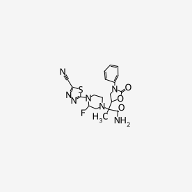 CC(C(N)=O)(C1CN(c2ccccc2)C(=O)O1)N1CCN(c2nnc(C#N)s2)C(F)C1